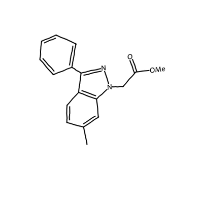 COC(=O)Cn1nc(-c2ccccc2)c2ccc(C)cc21